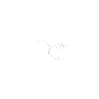 CCCCCCCCCCCCCC.[MgH2].[NaH]